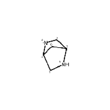 C1NC2C[N]C1C2